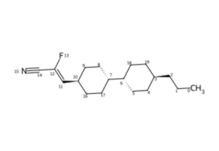 CCC[C@H]1CC[C@H]([C@H]2CC[C@H](C=C(F)C#N)CC2)CC1